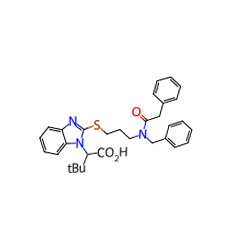 CC(C)(C)C(C(=O)O)n1c(SCCCN(Cc2ccccc2)C(=O)Cc2ccccc2)nc2ccccc21